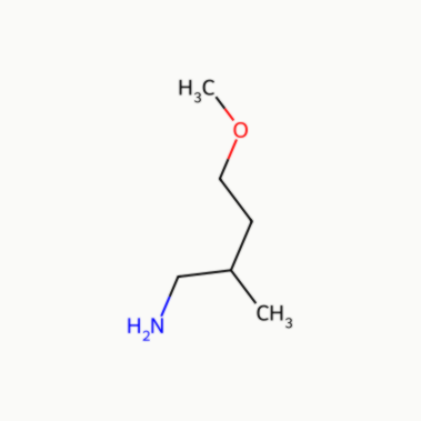 COCCC(C)CN